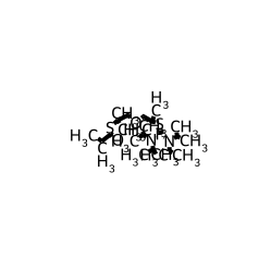 CC(C)C(=O)SC(C)(C)COCC(C)(C)SP(N(C(C)C)C(C)C)N(C(C)C)C(C)C